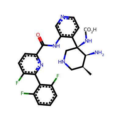 C[C@H]1CNC[C@](NC(=O)O)(c2ccncc2NC(=O)c2ccc(F)c(-c3c(F)cccc3F)n2)[C@H]1N